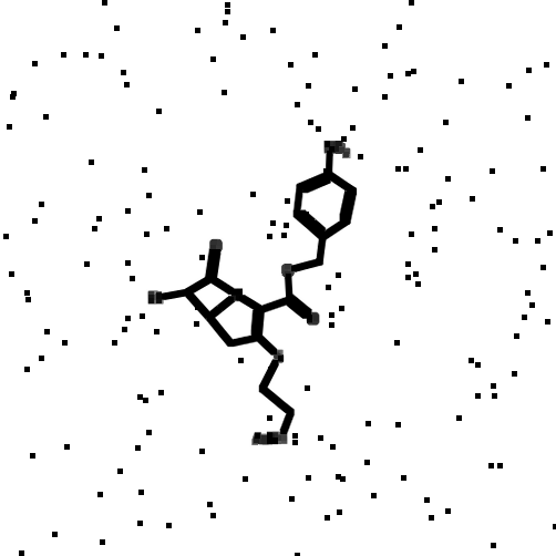 CCC1C(=O)N2C(C(=O)OCc3ccc([N+](=O)[O-])cc3)=C(SCCNC(C)=O)CC12